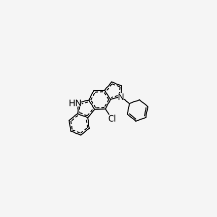 Clc1c2c(cc3ccn(C4C=CC=CC4)c13)[nH]c1ccccc12